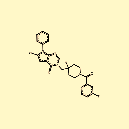 O=C(c1cccc(F)c1)N1CCC(O)(Cn2cnc3c(cc(Cl)n3-c3ccccc3)c2=O)CC1